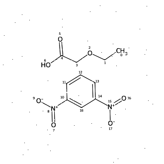 CCOCC(=O)O.O=[N+]([O-])c1cccc([N+](=O)[O-])c1